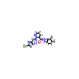 O=C(NCc1ccc(F)c(F)c1)c1cccnc1NCc1csc(Br)n1